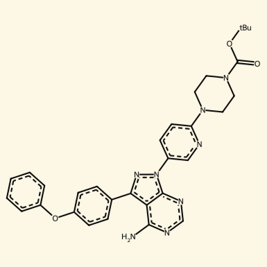 CC(C)(C)OC(=O)N1CCN(c2ccc(-n3nc(-c4ccc(Oc5ccccc5)cc4)c4c(N)ncnc43)cn2)CC1